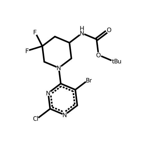 CC(C)(C)OC(=O)NC1CN(c2nc(Cl)ncc2Br)CC(F)(F)C1